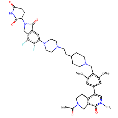 CNC(=O)N1CCc2c(-c3cc(OC)c(CN4CCC(CCN5CCN(c6cc7c(c(F)c6F)CN(C6CCC(=O)NC6=O)C7=O)CC5)CC4)c(OC)c3)cn(C)c(=O)c2C1